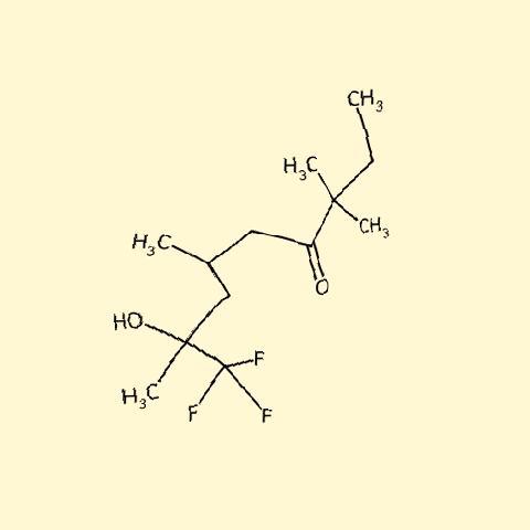 CCC(C)(C)C(=O)CC(C)CC(C)(O)C(F)(F)F